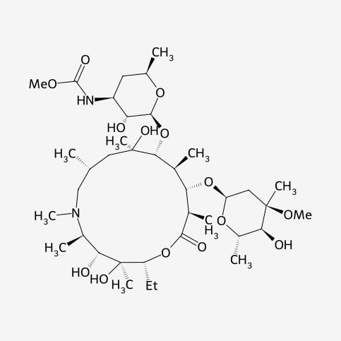 CC[C@H]1OC(=O)[C@H](C)[C@@H](O[C@H]2C[C@@](C)(OC)[C@@H](O)[C@H](C)O2)[C@H](C)[C@@H](O[C@@H]2O[C@H](C)C[C@H](NC(=O)OC)[C@H]2O)[C@](C)(O)C[C@@H](C)CN(C)[C@H](C)[C@@H](O)[C@]1(C)O